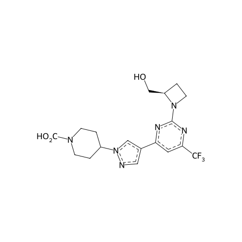 O=C(O)N1CCC(n2cc(-c3cc(C(F)(F)F)nc(N4CC[C@@H]4CO)n3)cn2)CC1